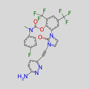 CN(C(=O)Oc1c(-n2ccn(C#Cc3ccc(N)nn3)c2=O)cc(C(F)(F)F)cc1C(F)(F)F)c1ccc(F)cc1